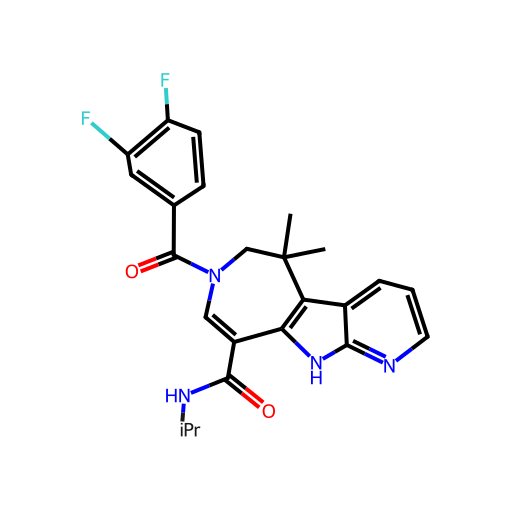 CC(C)NC(=O)C1=CN(C(=O)c2ccc(F)c(F)c2)CC(C)(C)c2c1[nH]c1ncccc21